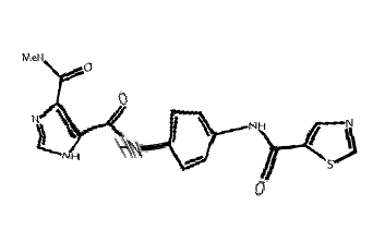 CNC(=O)c1nc[nH]c1C(=O)Nc1ccc(NC(=O)c2cncs2)cc1